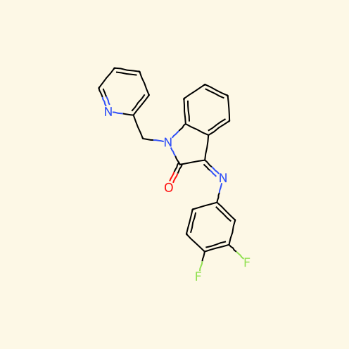 O=C1C(=Nc2ccc(F)c(F)c2)c2ccccc2N1Cc1ccccn1